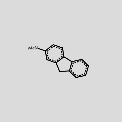 CNc1ccc2c(c1)Cc1ccccc1-2